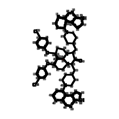 O=C(C(CC1CCN(c2ccnc3cnc4[nH]ccc4c23)CC1)N1CCCC(COc2ccc(Cl)cc2)C1)C(CC1CCN(c2ccnc3cnc4[nH]ccc4c23)CC1)N1CCCC(COc2ccc(Cl)cc2)C1